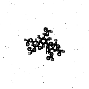 CC(=O)OCCN(C(=O)C(C)OC(C)=O)c1c(I)c(COC(C)=O)c(I)c(C(=O)NC(COC(C)=O)C(COC(C)=O)OC(C)=O)c1I